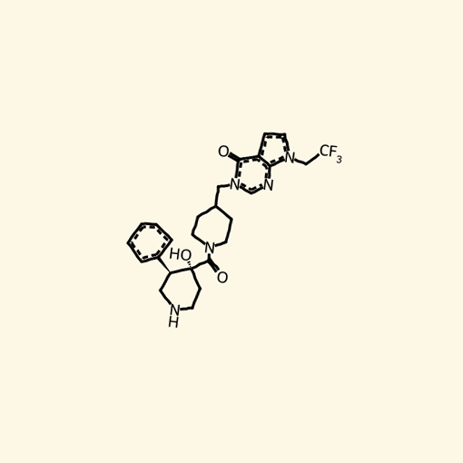 O=C(N1CCC(Cn2cnc3c(ccn3CC(F)(F)F)c2=O)CC1)[C@@]1(O)CCNC[C@H]1c1ccccc1